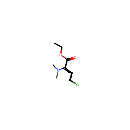 CCOC(=O)C(=CCCl)N(C)C